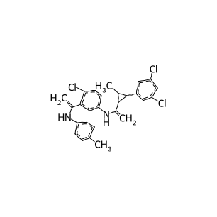 C=C(Nc1ccc(C)cc1)c1cc(NC(=C)C2C(C)C2c2cc(Cl)cc(Cl)c2)ccc1Cl